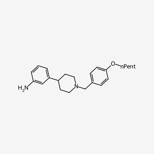 CCCCCOc1ccc(CN2CCC(c3cccc(N)c3)CC2)cc1